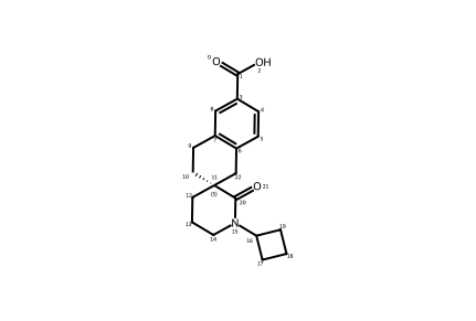 O=C(O)c1ccc2c(c1)CC[C@]1(CCCN(C3CCC3)C1=O)C2